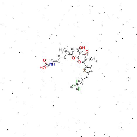 CC(=Cc1ccc(CCCC(F)(F)F)s1)C(=O)c1c(O)cc(C(C)CC/C=C/NC(=O)O)oc1=O